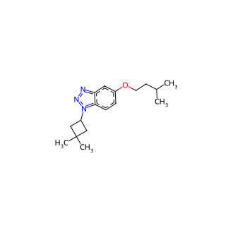 CC(C)CCOc1ccc2c(c1)nnn2C1CC(C)(C)C1